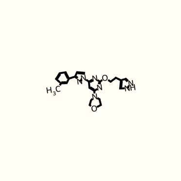 Cc1cccc(-c2ccn(-c3cc(N4CCOCC4)nc(OCCc4cn[nH]c4)n3)n2)c1